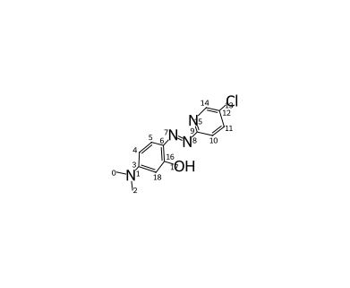 CN(C)c1ccc(N=Nc2ccc(Cl)cn2)c(O)c1